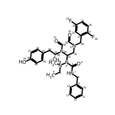 CCN(C)N(C(=O)NCc1ccccc1)C(CN(C=O)Cc1cc(F)ccc1F)N(C=O)[C@H](C)Cc1ccc(O)cc1